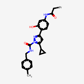 Cc1ccc(CNC(=O)n2nc(-c3ccc(NC(=O)CC(C)C)cc3O)cc2C2CC2)cc1